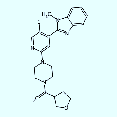 C=C(C1CCOC1)N1CCN(c2cc(-c3nc4ccccc4n3C)c(Cl)cn2)CC1